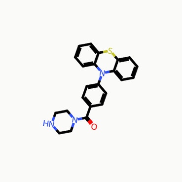 O=C(c1ccc(N2c3ccccc3Sc3ccccc32)cc1)N1CCNCC1